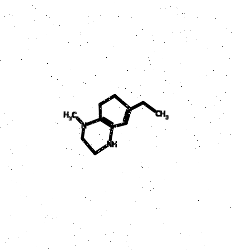 CCC1=CC2=C(CC1)N(C)CCN2